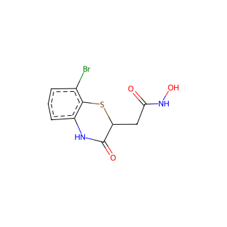 O=C(CC1Sc2c(Br)cccc2NC1=O)NO